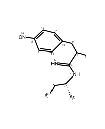 CC(=O)[C@H](CC(C)C)NC(=N)C(C)Cc1ccc(N=O)cc1